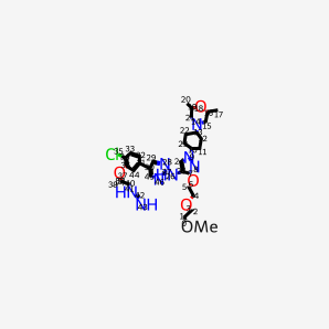 COCCOCCOc1nn(C2CCC(N3CC(C)OC(C)C3)CC2)cc1Nc1ncc(-c2ccc(Cl)c(O[C@@H](C)CNC=N)c2)cn1